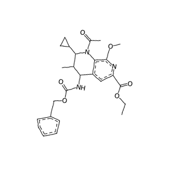 CCOC(=O)c1cc2c(c(OC)n1)N(C(C)=O)C(C1CC1)C(C)C2NC(=O)OCc1ccccc1